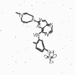 CCS(=O)(=O)Nc1ccc(C)c(Nc2ncnc3cnc(N4CCN(C)CC4)nc23)c1